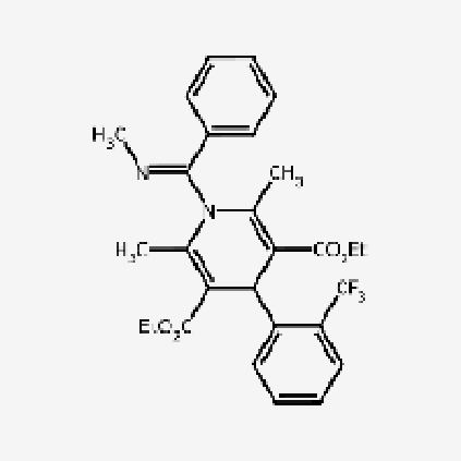 CCOC(=O)C1=C(C)N(C(=NC)c2ccccc2)C(C)=C(C(=O)OCC)C1c1ccccc1C(F)(F)F